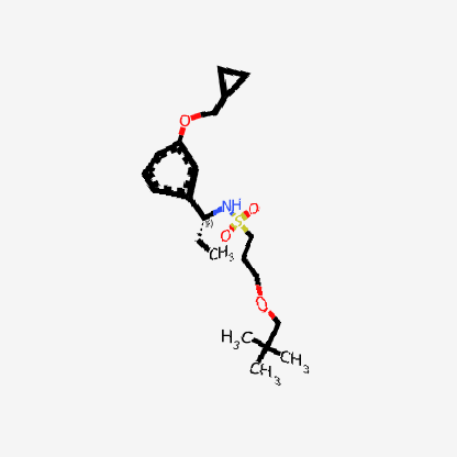 CC[C@@H](NS(=O)(=O)CCCOCC(C)(C)C)c1cccc(OCC2CC2)c1